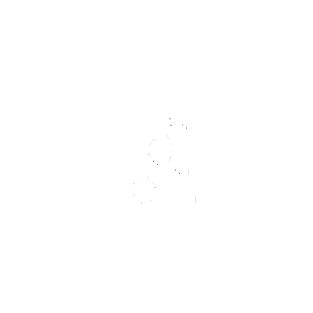 CCN1Cc2c(ccnc2NC(C)c2ccc(OC)cc2)C1=O